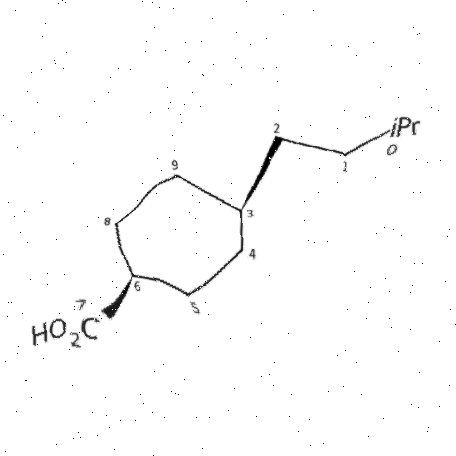 CC(C)CC[C@H]1CC[C@@H](C(=O)O)CC1